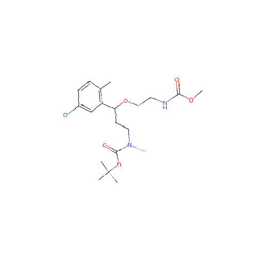 COC(=O)NCCOC(CCN(C)C(=O)OC(C)(C)C)c1cc(Cl)ccc1C